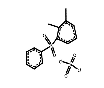 Cc1cccc(S(=O)(=O)c2ccccc2)c1C.O=S(=O)(Cl)Cl